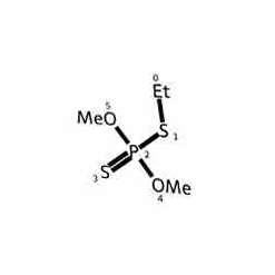 [CH2]CSP(=S)(OC)OC